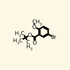 COc1c[c]c(Br)cc1C(=O)OC(C)(C)C